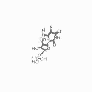 O=C1NC(=O)N([C@H]2O[C@@H](COP(=O)(O)O)C(O)C2O)C(O)C1F